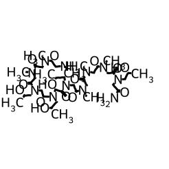 CNCC(=O)N(C)CC(=O)N(C)CC(=O)N(CC(=O)N(CC(=O)N(CC(=O)N(C)CC(=O)N(C)CC(=O)N(C)CC(=O)N(CC(N)=O)CC(C)O)CC(C)O)CC(C)O)CC(C)O